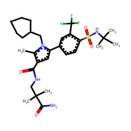 Cc1c(C(=O)NCC(C)(C)C(N)=O)cc(-c2ccc(S(=O)(=O)NC(C)(C)C)c(C(F)(F)F)c2)n1CC1CCCCC1